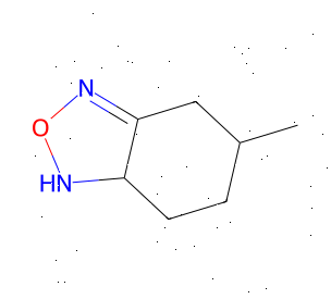 CC1CCC2NON=C2C1